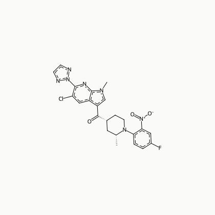 C[C@@H]1C[C@H](C(=O)c2cn(C)c3nc(-n4nccn4)c(Cl)cc23)CCN1c1ccc(F)cc1[N+](=O)[O-]